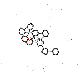 CN1C(c2ccccc2-c2ccc3c(c2)Oc2ccccc2C32c3ccccc3-c3ccccc32)=NC(c2cccc(-c3ccccc3)c2)=NC1c1ccccc1